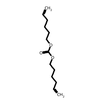 C=CCCCCOC(=O)OCCCCC=C